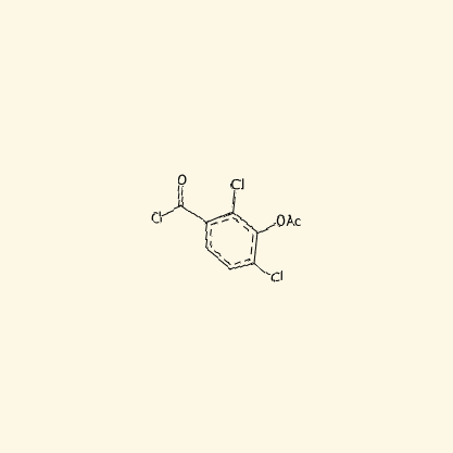 CC(=O)Oc1c(Cl)ccc(C(=O)Cl)c1Cl